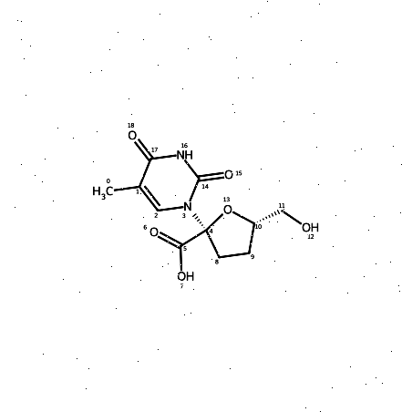 Cc1cn([C@@]2(C(=O)O)CC[C@@H](CO)O2)c(=O)[nH]c1=O